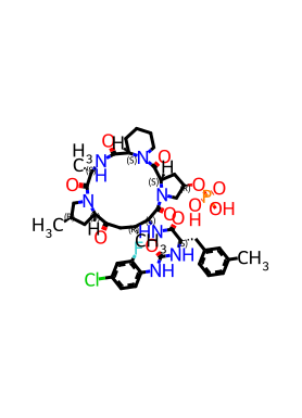 Cc1cccc(C[C@H](NC(=O)Nc2ccc(Cl)cc2F)C(=O)N[C@@H]2C(=O)N3C[C@H](OP(=O)(O)O)C[C@H]3C(=O)N3CCCC[C@H]3C(=O)N[C@@H](C)C(=O)N3C[C@H](C)C[C@H]3C(=O)C[C@H]2C)c1